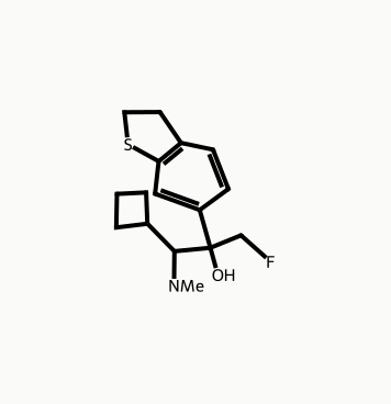 CNC(C1CCC1)C(O)(CF)c1ccc2c(c1)SCC2